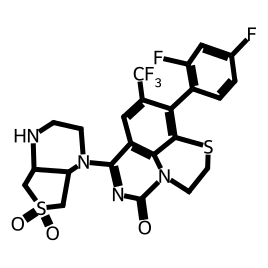 O=c1nc(N2CCNC3CS(=O)(=O)CC32)c2cc(C(F)(F)F)c(-c3ccc(F)cc3F)c3c2n1CCS3